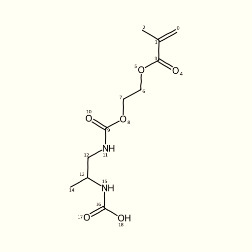 C=C(C)C(=O)OCCOC(=O)NCC(C)NC(=O)O